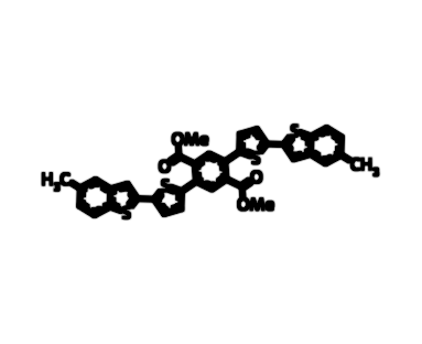 COC(=O)c1cc(-c2ccc(-c3cc4cc(C)ccc4s3)s2)c(C(=O)OC)cc1-c1ccc(-c2cc3cc(C)ccc3s2)s1